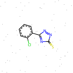 S=C1N=NC(c2ccccc2Cl)=N1